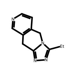 CCc1nnc2n1Cc1ccncc1C2